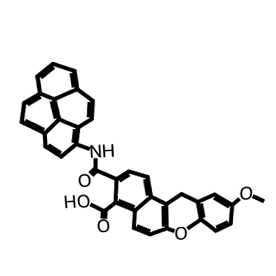 COc1ccc2c(c1)Cc1c(ccc3c(C(=O)O)c(C(=O)Nc4ccc5ccc6cccc7ccc4c5c67)ccc13)O2